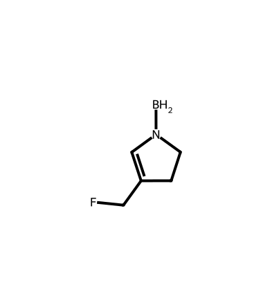 BN1C=C(CF)CC1